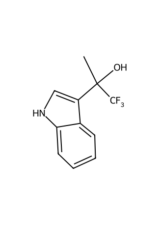 CC(O)(c1c[nH]c2ccccc12)C(F)(F)F